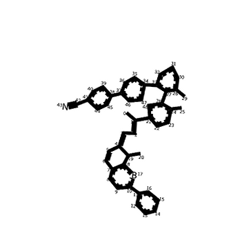 C/C(=C\C=C1\C=Cc2ccc(-c3ccccc3)bc2C1C)c1ccc(C)c(-c2c(C)cccc2-c2ccc(-c3ccc(C#N)cc3)cc2)c1